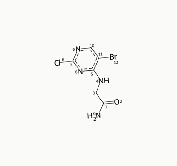 NC(=O)CNc1nc(Cl)ncc1Br